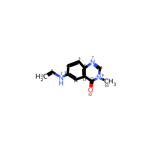 C=CNc1ccc2ncn(C)c(=O)c2c1